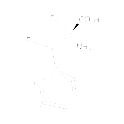 N[C@](F)(C(=O)O)C(F)c1ccccc1